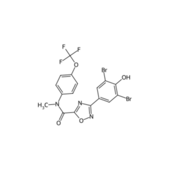 CN(C(=O)c1nc(-c2cc(Br)c(O)c(Br)c2)no1)c1ccc(OC(F)(F)F)cc1